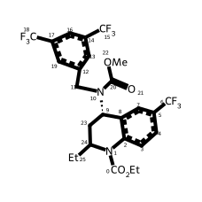 CCOC(=O)N1c2ccc(C(F)(F)F)cc2[C@@H](N(Cc2cc(C(F)(F)F)cc(C(F)(F)F)c2)C(=O)OC)CC1CC